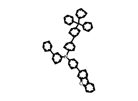 c1ccc(-c2cccc(N(c3ccc(-c4ccc(C(c5ccccc5)(c5ccccc5)c5ccccc5)cc4)cc3)c3ccc(-c4ccc5c(c4)oc4ccccc45)cc3)c2)cc1